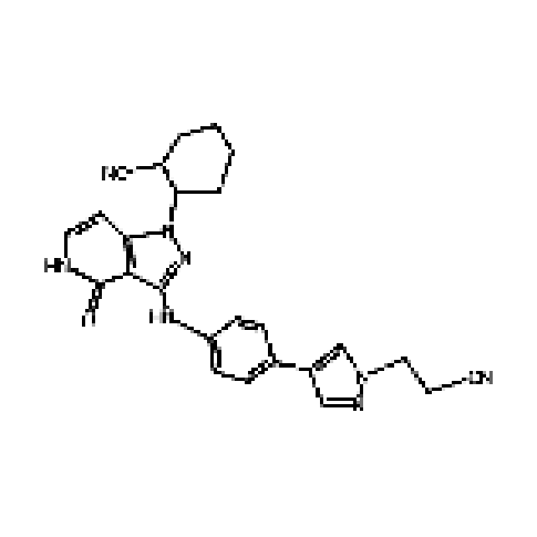 N#CCCn1cc(-c2ccc(Nc3nn(C4CCCCC4C#N)c4cc[nH]c(=O)c34)cc2)cn1